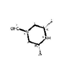 C[C@@H]1CN(C=O)C[C@H](C)N1